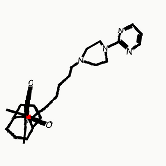 O=C1CC2(C(=O)N1CCCCN1CCN(c3ncccn3)CC1)C1CCCC2CCC1